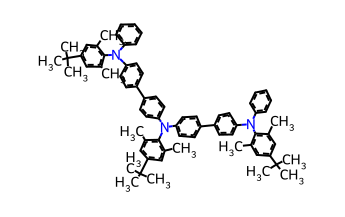 Cc1cc(C(C)(C)C)cc(C)c1N(c1ccccc1)c1ccc(-c2ccc(N(c3ccc(-c4ccc(N(c5ccccc5)c5c(C)cc(C(C)(C)C)cc5C)cc4)cc3)c3c(C)cc(C(C)(C)C)cc3C)cc2)cc1